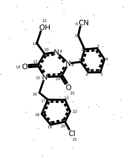 N#CCc1ccccc1-n1nc(CO)c(=O)n(Cc2ccc(Cl)cc2)c1=O